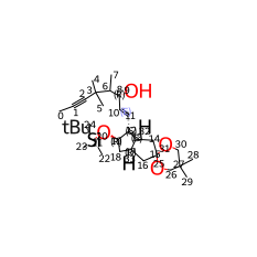 CC#CC(C)(C)C(C)[C@H](O)/C=C/[C@@H]1[C@H]2CC3(C[C@H]2C[C@H]1O[Si](C)(C)C(C)(C)C)OCC(C)(C)CO3